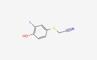 N#CCSc1ccc(O)c(I)c1